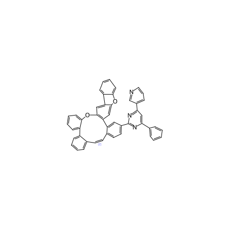 C1=C\c2ccc(-c3nc(-c4ccccc4)cc(-c4cccnc4)n3)cc2-c2cc3oc4ccccc4c3cc2Oc2ccccc2-c2ccccc2/1